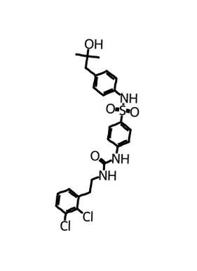 CC(C)(O)Cc1ccc(NS(=O)(=O)c2ccc(NC(=O)NCCc3cccc(Cl)c3Cl)cc2)cc1